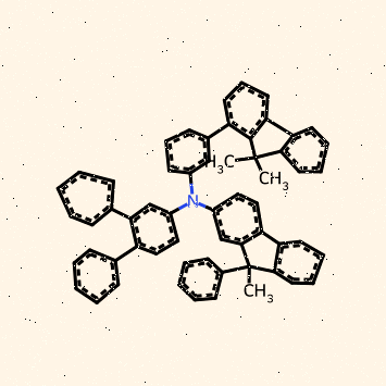 CC1(C)c2ccccc2-c2cccc(-c3cccc(N(c4ccc(-c5ccccc5)c(-c5ccccc5)c4)c4ccc5c(c4)C(C)(c4ccccc4)c4ccccc4-5)c3)c21